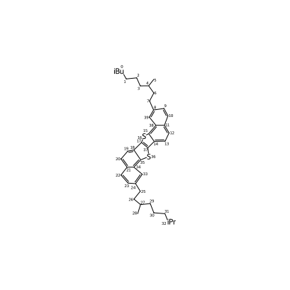 CCC(C)CCCC(C)CCc1ccc2ccc3c(sc4c5ccc6ccc(CCC(C)CCCC(C)C)cc6c5sc34)c2c1